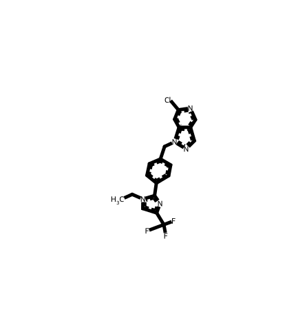 CCn1cc(C(F)(F)F)nc1-c1ccc(Cn2ncc3cnc(Cl)cc32)cc1